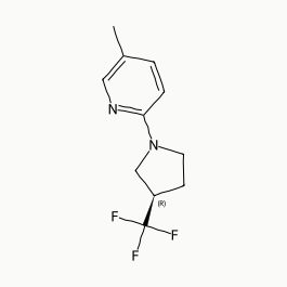 Cc1ccc(N2CC[C@@H](C(F)(F)F)C2)nc1